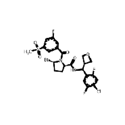 CC[C@@H]1CC[C@H](C(=O)NC(c2cc(F)c(Cl)cc2F)C2COC2)N1C(=O)c1cc(F)cc(S(C)(=O)=O)c1